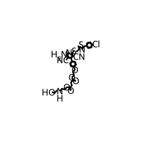 N#Cc1c(N)nc(SCc2csc(-c3ccc(Cl)cc3)n2)c(C#N)c1-c1ccc(OCCOC(=O)CCC(=O)OCCNCCO)cc1